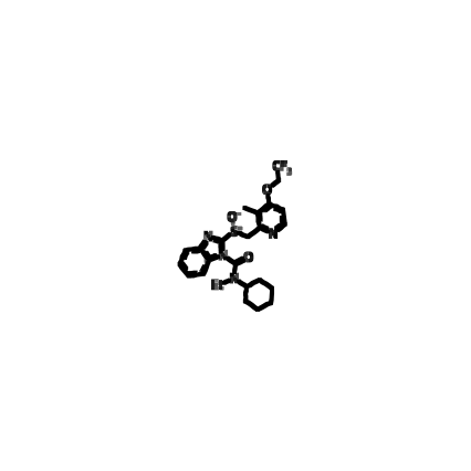 [CH2]CN(C(=O)n1c([S@+]([O-])Cc2nccc(OCC(F)(F)F)c2C)nc2ccccc21)C1CCCCC1